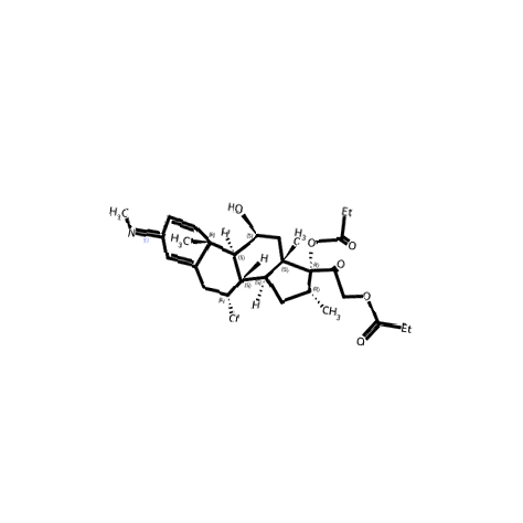 CCC(=O)OCC(=O)[C@@]1(OC(=O)CC)[C@H](C)C[C@H]2[C@H]3[C@H]([C@@H](O)C[C@@]21C)[C@@]1(C)C=C/C(=N\C)C=C1C[C@H]3Cl